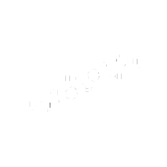 C=CC(=O)C(O)Oc1ccc(C(C)(CC)c2ccc(OC(O)C(=O)C=C)cc2)cc1